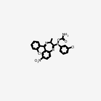 CC1N=C(c2ccccc2Cl)c2cc([N+](=O)[O-])ccc2N=C1N(OC(N)=O)c1cccc(Cl)c1